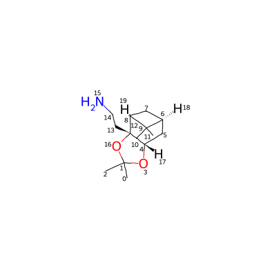 CC1(C)O[C@H]2C[C@@H]3C[C@@H](C3(C)C)[C@@]2(CCN)O1